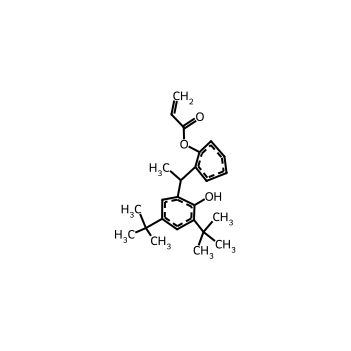 C=CC(=O)Oc1ccccc1C(C)c1cc(C(C)(C)C)cc(C(C)(C)C)c1O